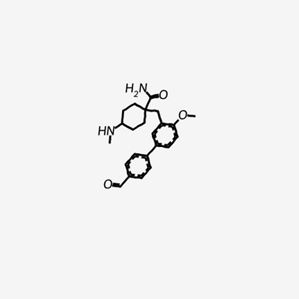 CNC1CCC(Cc2cc(-c3ccc(C=O)cc3)ccc2OC)(C(N)=O)CC1